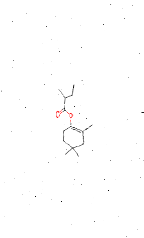 CCC(C)C(=O)OC1=C(C)CC(C)(C)CC1